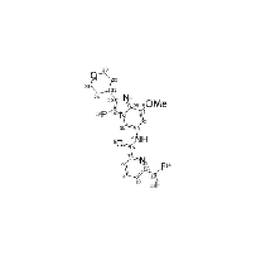 COc1cc(NC(=O)c2cccc(C(F)F)n2)cn2c(F)c(C3CCOCC3)nc12